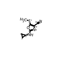 CSc1oc(NC2CC2)nc1C#N